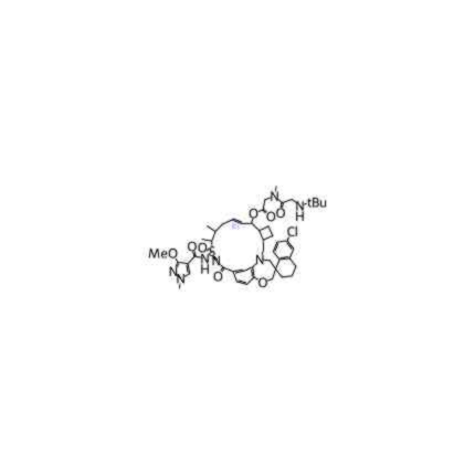 COc1nn(C)cc1C(=O)NS1(=O)=NC(=O)c2ccc3c(c2)N(CC2CCC2C(OC(=O)CN(C)C(=O)CNC(C)(C)C)/C=C/CC(C)C1C)CC1(CCCc2cc(Cl)ccc21)CO3